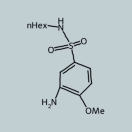 CCCCCCNS(=O)(=O)c1ccc(OC)c(N)c1